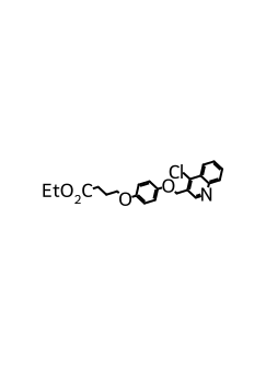 CCOC(=O)CCCOc1ccc(OCc2cnc3ccccc3c2Cl)cc1